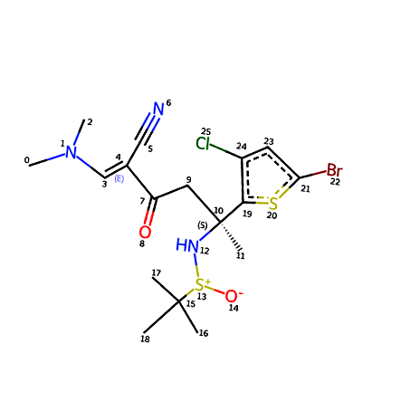 CN(C)/C=C(\C#N)C(=O)C[C@](C)(N[S+]([O-])C(C)(C)C)c1sc(Br)cc1Cl